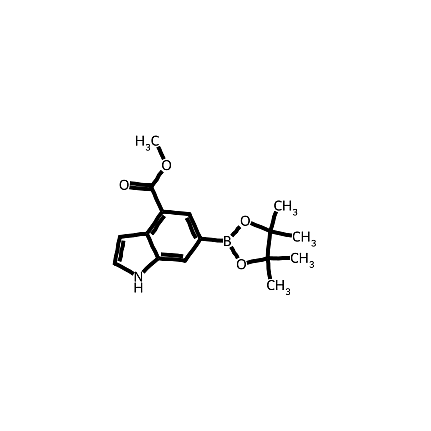 COC(=O)c1cc(B2OC(C)(C)C(C)(C)O2)cc2[nH]ccc12